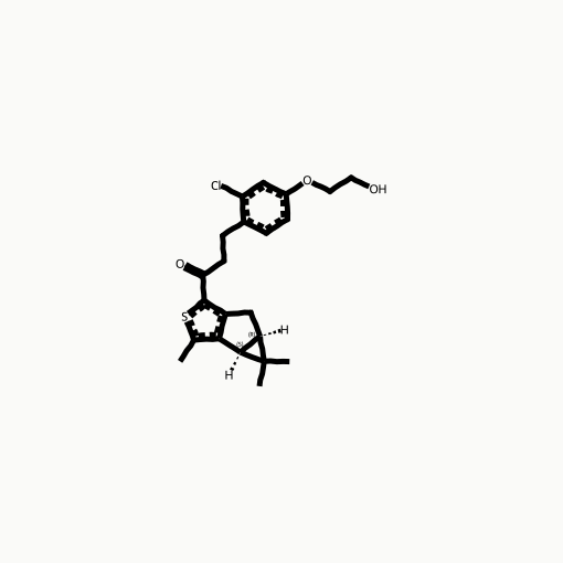 Cc1sc(C(=O)CCc2ccc(OCCO)cc2Cl)c2c1[C@H]1[C@@H](C2)C1(C)C